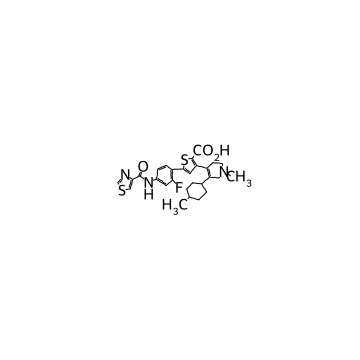 CC1CCC(C2=C(c3cc(-c4ccc(NC(=O)c5cscn5)cc4F)sc3C(=O)O)CCN(C)C2)CC1